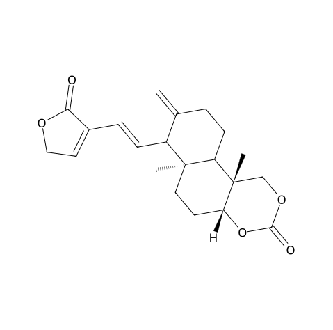 C=C1CCC2[C@@](C)(CC[C@H]3OC(=O)OC[C@@]23C)C1/C=C/C1=CCOC1=O